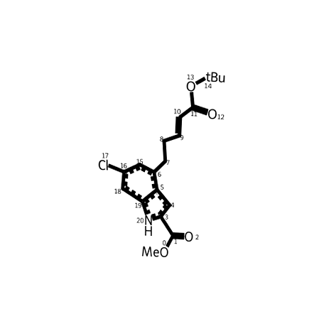 COC(=O)c1cc2c(CC/C=C/C(=O)OC(C)(C)C)cc(Cl)cc2[nH]1